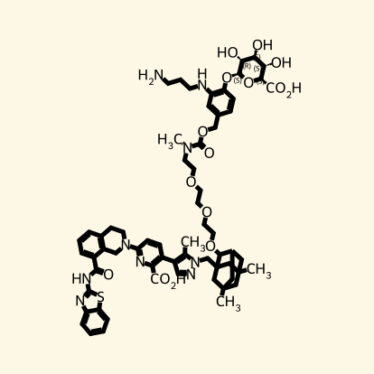 Cc1c(-c2ccc(N3CCc4cccc(C(=O)Nc5nc6ccccc6s5)c4C3)nc2C(=O)O)cnn1CC12CC3(C)CC(CC(C)(C3)C1)C2OCCOCCOCCN(C)C(=O)OCc1ccc(O[C@@H]2O[C@H](C(=O)O)[C@@H](O)[C@H](O)[C@H]2O)c(NCCCN)c1